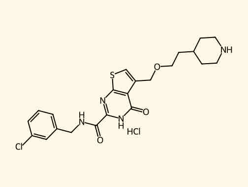 Cl.O=C(NCc1cccc(Cl)c1)c1nc2scc(COCCC3CCNCC3)c2c(=O)[nH]1